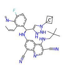 C=Nc1c(F)ccc([C@H](Nc2cc(C#N)c3ncc(C#N)c(NCC(C)(C)C)c3c2)C2=CN(C34CC(C3)C4)NN2)c1/C=C\C